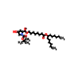 CCCCCCC(CCCCCC)OC(=O)CCCCCCCOC(=O)[C@@H]1CC(O)CN1C(=O)OC(C)(C)C